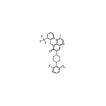 COc1ccnc(F)c1C1CCC(c2cc3ncc(C)nc3n(Cc3ncccc3C(F)(F)F)c2=O)CC1